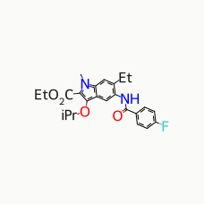 CCOC(=O)c1c(OC(C)C)c2cc(NC(=O)c3ccc(F)cc3)c(CC)cc2n1C